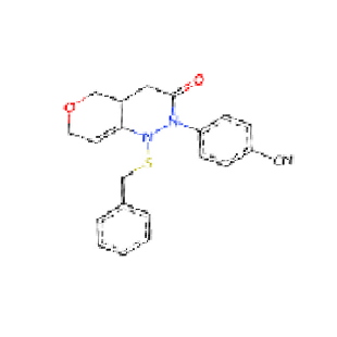 N#Cc1ccc(N2C(=O)CC3COCC=C3N2SCc2ccccc2)cc1